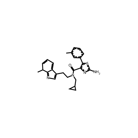 Cc1cccc(-c2sc(N)nc2C(=O)N(CCC2=CN=C3C2=CC=CC3C)CC2CC2)c1